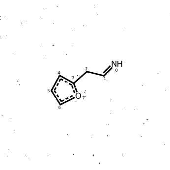 N=CCc1ccco1